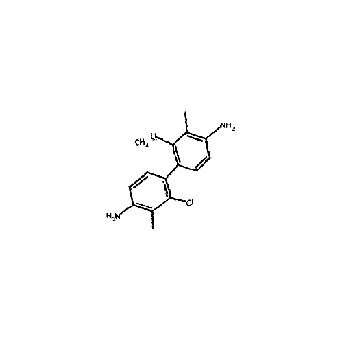 C.Cc1c(N)ccc(-c2ccc(N)c(C)c2Cl)c1Cl